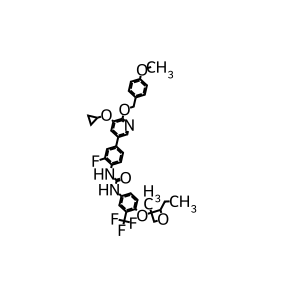 CCC1OCC1(C)Oc1ccc(NC(=O)Nc2ccc(-c3cnc(OCc4ccc(OC)cc4)c(OC4CC4)c3)cc2F)cc1C(F)(F)F